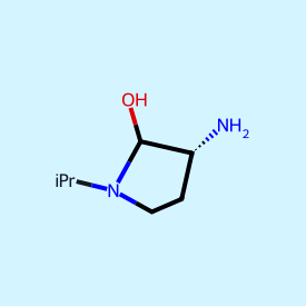 CC(C)N1CC[C@@H](N)C1O